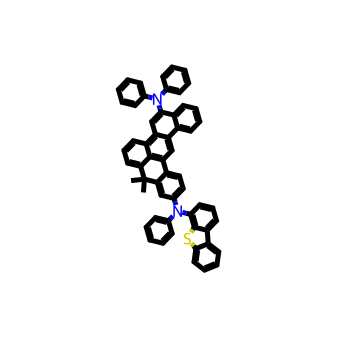 CC1(C)c2cc(N(c3ccccc3)c3cccc4c3sc3ccccc34)ccc2-c2cc3c4ccccc4c(N(c4ccccc4)c4ccccc4)cc3c3cccc1c23